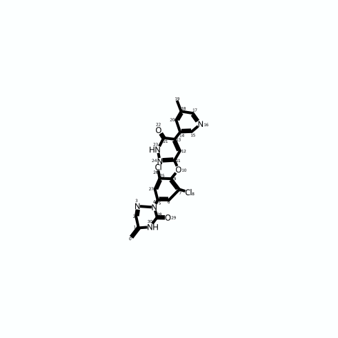 C=C1C=NN(c2cc(Cl)c(Oc3cc(-c4cncc(C)c4)c(=O)[nH]n3)c(Cl)c2)C(=O)N1